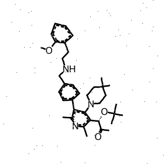 COc1ccccc1CCNCc1ccc(-c2c(C)nc(C)c([C@H](OC(C)(C)C)C(C)=O)c2N2CCC(C)(C)CC2)cc1